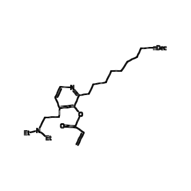 C=CC(=O)Oc1c(CCN(CC)CC)ccnc1CCCCCCCCCCCCCCCCCC